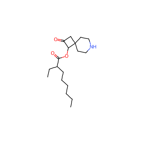 CCCCCCC(CC)C(=O)OC1C(=O)CC12CCNCC2